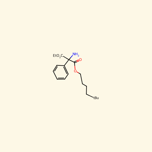 CCOC(=O)C(N)(C(=O)OCCCCC(C)(C)C)c1ccccc1